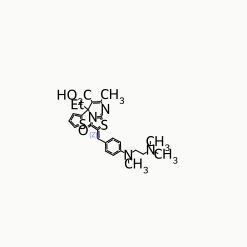 CCC1(c2cccs2)C(C(=O)O)=C(C)N=c2s/c(=C\c3ccc(N(C)CCN(C)C)cc3)c(=O)n21